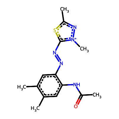 CC(=O)Nc1cc(C)c(C)cc1N=Nc1sc(C)n[n+]1C